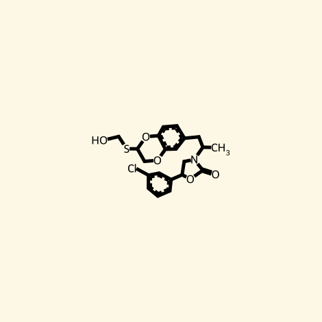 CC(Cc1ccc2c(c1)OCC(SCO)O2)N1CC(c2cccc(Cl)c2)OC1=O